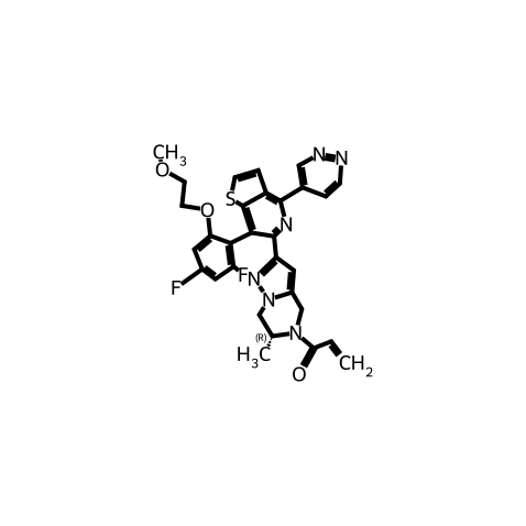 C=CC(=O)N1Cc2cc(-c3nc(-c4ccnnc4)c4ccsc4c3-c3c(F)cc(F)cc3OCCOC)nn2C[C@H]1C